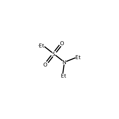 C[CH]S(=O)(=O)N(CC)CC